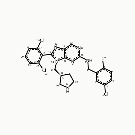 Fc1ccc(Cl)cc1CNc1ncc2nc(-c3c(Cl)cccc3Cl)n(C[C@H]3CCNC3)c2n1